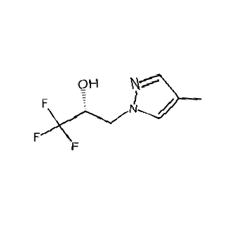 Cc1cnn(C[C@@H](O)C(F)(F)F)c1